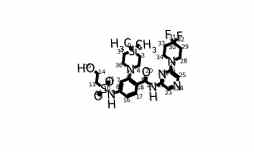 C[Si]1(C)CCN(c2cc(NS(=O)(=O)CCO)ccc2C(=O)Nc2cncc(N3CCC(F)(F)CC3)n2)CC1